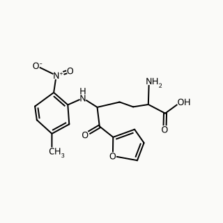 Cc1ccc([N+](=O)[O-])c(NC(CCC(N)C(=O)O)C(=O)c2ccco2)c1